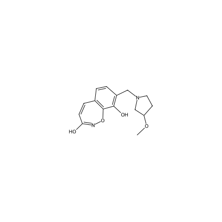 COC1CCN(Cc2ccc3c(c2O)ON=C(O)C=C3)C1